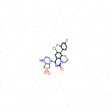 O=c1nc(N2CCNC3CS(=O)(=O)CC32)c2cc(Cl)c(-c3ccc(F)cc3F)c3c2n1CCS3